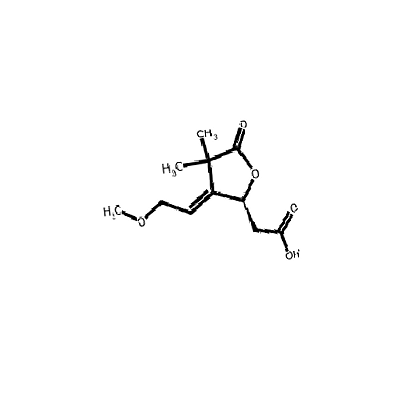 COC/C=C1/[C@H](CC(=O)O)OC(=O)C1(C)C